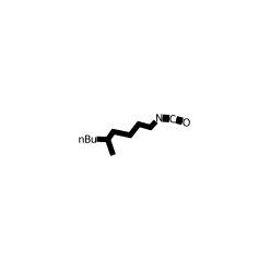 CCCCC(C)CCCCN=C=O